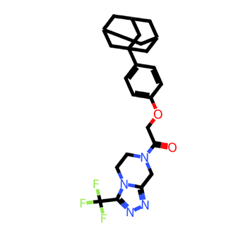 O=C(COc1ccc(C23CC4CC(CC(C4)C2)C3)cc1)N1CCn2c(nnc2C(F)(F)F)C1